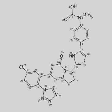 CN(C(=O)O)c1ccc(-c2ccc([C@@H]3CCc4cc(-c5cc(Cl)ccc5-n5cnnn5)cc(=O)n43)[nH]2)cc1